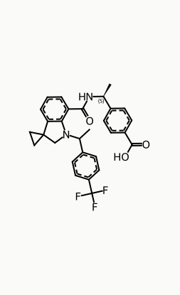 CC(c1ccc(C(F)(F)F)cc1)N1CC2(CC2)c2cccc(C(=O)N[C@@H](C)c3ccc(C(=O)O)cc3)c21